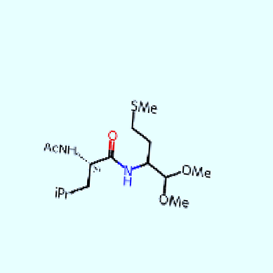 COC(OC)C(CCSC)NC(=O)[C@H](CC(C)C)NC(C)=O